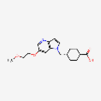 COCCOc1cnc2ccn(C[C@H]3CC[C@H](C(=O)O)CC3)c2c1